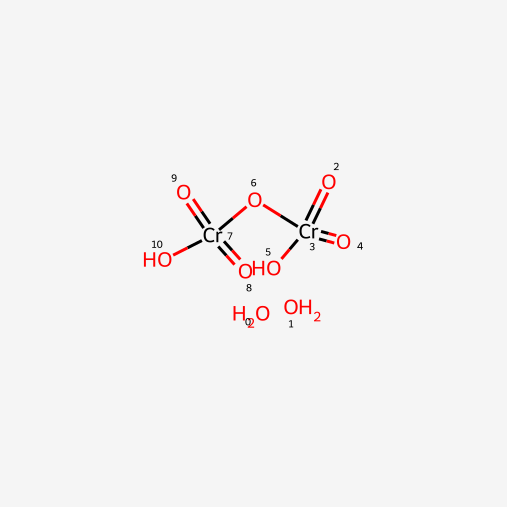 O.O.[O]=[Cr](=[O])([OH])[O][Cr](=[O])(=[O])[OH]